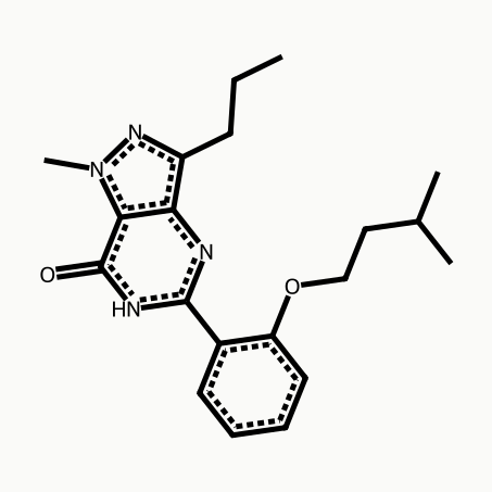 CCCc1nn(C)c2c(=O)[nH]c(-c3ccccc3OCCC(C)C)nc12